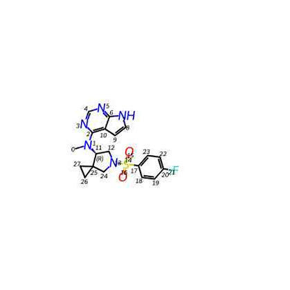 CN(c1ncnc2[nH]ccc12)[C@H]1CN(S(=O)(=O)c2ccc(F)cc2)CC12CC2